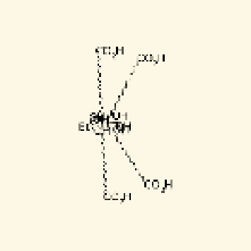 CCC(CO)(CO)CO.O=C(O)CCCCCCCCCCCCCCCCCC(CCCCCCCCCCCCCCCCCC(=O)O)C(CCCCCCCCCCCCCCCCCC(=O)O)(CCCCCCCCCCCCCCCCCC(=O)O)C(CO)(CO)CO